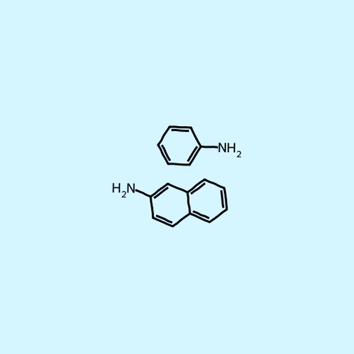 Nc1ccc2ccccc2c1.Nc1ccccc1